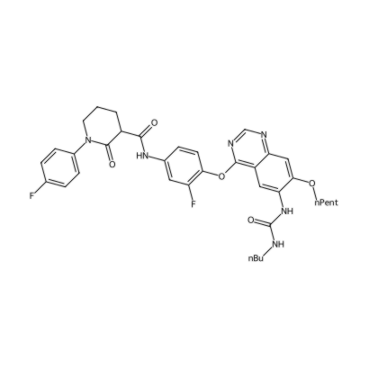 CCCCCOc1cc2ncnc(Oc3ccc(NC(=O)C4CCCN(c5ccc(F)cc5)C4=O)cc3F)c2cc1NC(=O)NCCCC